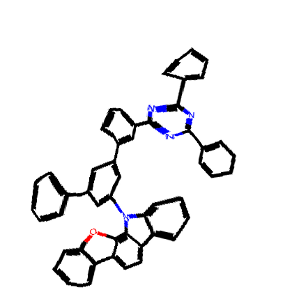 C1=CC(c2nc(-c3ccccc3)nc(-c3cccc(-c4cc(-c5ccccc5)cc(-n5c6ccccc6c6ccc7c8ccccc8oc7c65)c4)c3)n2)=CCC1